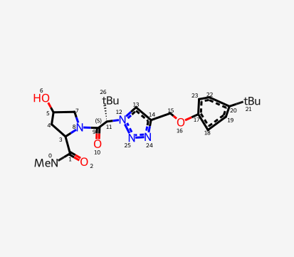 CNC(=O)C1CC(O)CN1C(=O)[C@@H](n1cc(COc2ccc(C(C)(C)C)cc2)nn1)C(C)(C)C